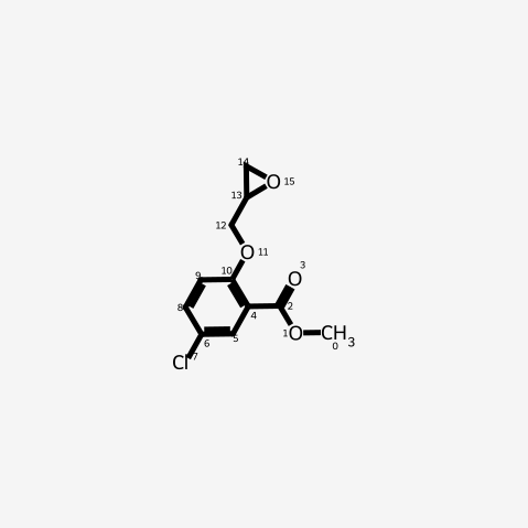 COC(=O)c1cc(Cl)ccc1OCC1CO1